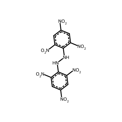 O=[N+]([O-])c1cc([N+](=O)[O-])c(NNc2c([N+](=O)[O-])cc([N+](=O)[O-])cc2[N+](=O)[O-])c([N+](=O)[O-])c1